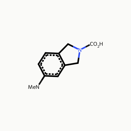 CNc1ccc2c(c1)CN(C(=O)O)C2